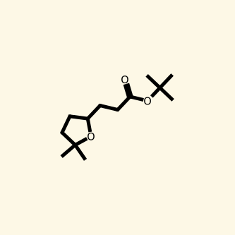 CC(C)(C)OC(=O)CCC1CCC(C)(C)O1